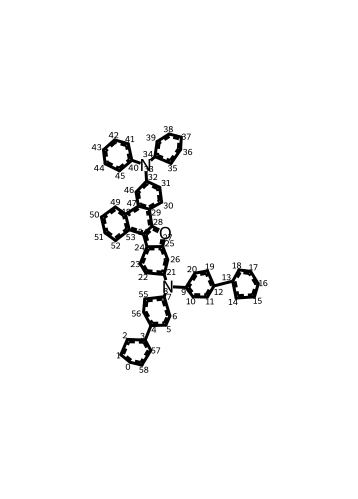 c1ccc(-c2ccc(N(c3ccc(-c4ccccc4)cc3)c3ccc4c(c3)oc3c5ccc(N(c6ccccc6)c6ccccc6)cc5c5ccccc5c43)cc2)cc1